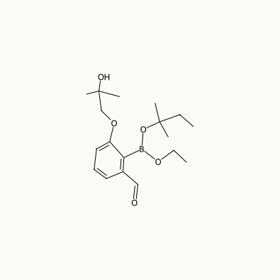 CCOB(OC(C)(C)CC)c1c(C=O)cccc1OCC(C)(C)O